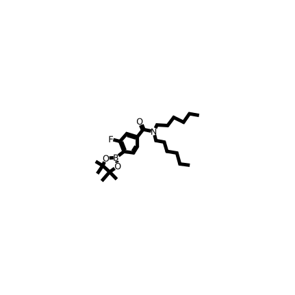 CCCCCCN(CCCCCC)C(=O)c1ccc(B2OC(C)(C)C(C)(C)O2)c(F)c1